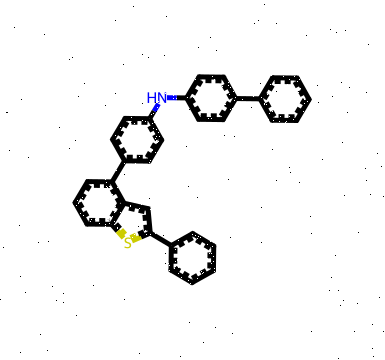 c1ccc(-c2ccc(Nc3ccc(-c4cccc5sc(-c6ccccc6)cc45)cc3)cc2)cc1